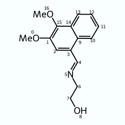 COc1cc(C=NCCO)c2ccccc2c1OC